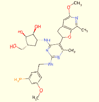 COc1cc(P)cc(CNc2nc(C)c(C3Cc4cc(OC)nc(C)c4O3)c(N[C@@H]3C[C@H](CO)[C@@H](O)[C@H]3O)n2)c1